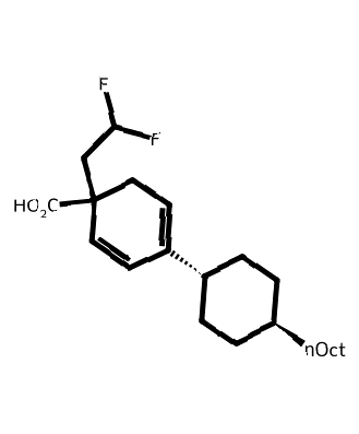 CCCCCCCC[C@H]1CC[C@H](C2=CCC(CC(F)F)(C(=O)O)C=C2)CC1